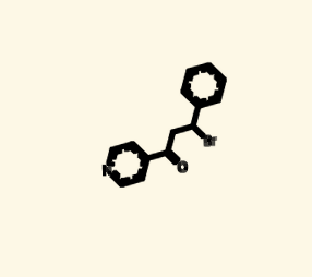 O=C(CC(Br)c1ccccc1)c1ccncc1